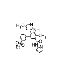 CCS(=O)(=O)c1cccc(-c2cc(C(=O)Nc3nccs3)c(C)c3[nH]c4ncc(C)cc4c23)c1